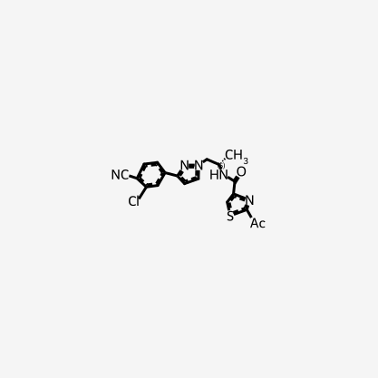 CC(=O)c1nc(C(=O)N[C@@H](C)Cn2ccc(-c3ccc(C#N)c(Cl)c3)n2)cs1